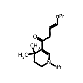 CCC/C=C/CC(=O)C1=CN(C(C)C)CCC1(C)C